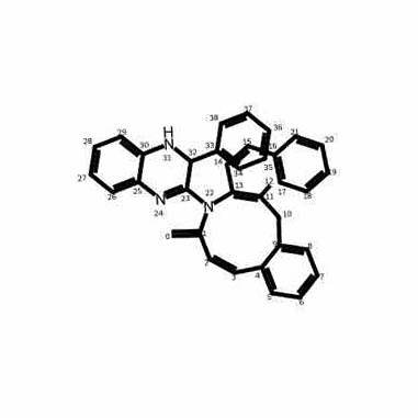 C=C1/C=C\c2ccccc2C/C(C)=C(/C=C\c2ccccc2)N1C1=Nc2ccccc2NC1c1ccccc1